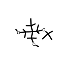 COC(C)(C)C(C(C)(C)C)(C(C)(C)OC)C(C)(C)OC(C)(C)C